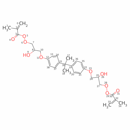 C=C(C)C(=O)OOCC(O)COc1ccc(C(C)(C)c2ccc(OCC(O)COOC(=O)C(=C)C)cc2)cc1